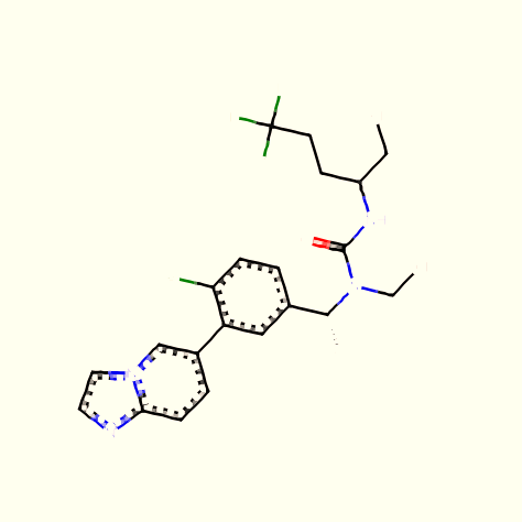 CCC(CCC(F)(F)F)NC(=O)N(CC)[C@H](C)c1ccc(Br)c(-c2ccc3nccn3c2)c1